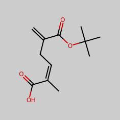 C=C(CC=C(C)C(=O)O)C(=O)OC(C)(C)C